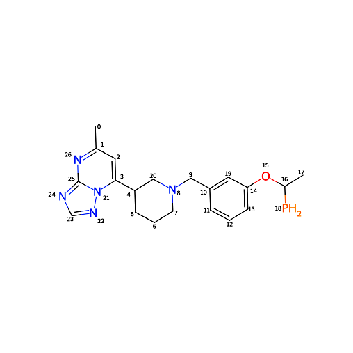 Cc1cc(C2CCCN(Cc3cccc(OC(C)P)c3)C2)n2ncnc2n1